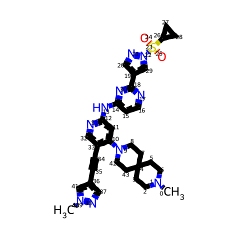 CN1CCC2(CC1)CCN(c1cc(Nc3ccnc(-c4cnn(S(=O)(=O)C5CC5)c4)n3)ncc1C#Cc1cnn(C)c1)CC2